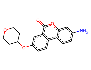 Nc1ccc2c(c1)oc(=O)c1cc(OC3CCOCC3)ccc12